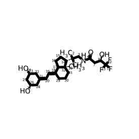 CC(C)(CNC(=O)C[C@@H](O)C(F)(F)F)[C@H]1CCC2C(=CC=C3CC(O)C[C@H](O)C3)CCC[C@@]21C